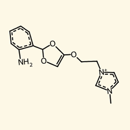 Cn1cc[n+](CCOC2=COC(c3ccccc3N)O2)c1